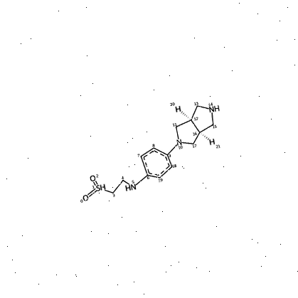 O=[SH](=O)CCNc1ccc(N2C[C@H]3CNC[C@H]3C2)cc1